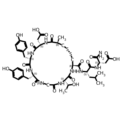 CC(C)C[C@H](NC(=O)[C@@H]1CSSC[C@H](C)C(=O)N[C@@H](CC(=O)O)C(=O)N[C@@H](Cc2ccc(O)cc2)C(=O)N[C@@H](Cc2ccc(O)cc2)C(=O)NCC(=O)N[C@@H](C(C)O)C(=O)N1)C(=O)N[C@@H](CC(=O)O)C(N)=O